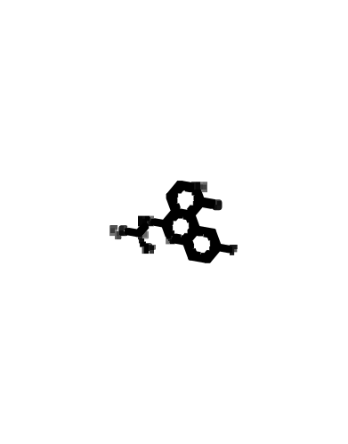 CC(C)[C@@H](Nc1nc2ccc(F)cc2c2c(=O)[nH]ccc12)C(F)(F)F